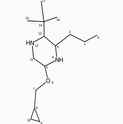 CCCC1NC(OCC2CC2)CNC1C(C)(C)C